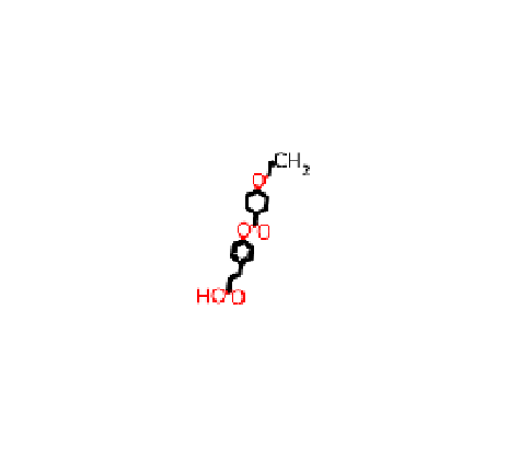 C=CCOC1CCC(C(=O)Oc2ccc(C=CC(=O)O)cc2)CC1